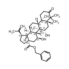 C=C(C)[C@@H]1CC[C@]2(C(=O)OCc3ccccc3)C[C@H](O)[C@]3(C)[C@H](CC[C@@H]4[C@@]5(C)CCC(=O)C(C)(C)[C@@H]5C[C@H](O)[C@]43C)[C@@H]12